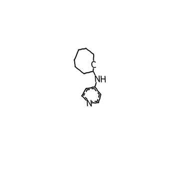 c1cc(NC2CCCCCCC2)ccn1